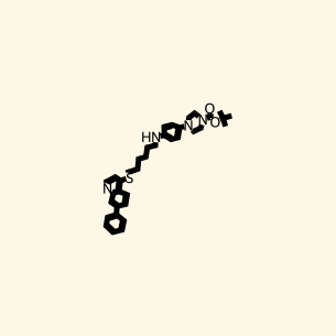 CC(C)(C)OC(=O)N1CCN(c2ccc(NCCCCCCSc3ccnc4cc(-c5ccccc5)ccc34)cc2)CC1